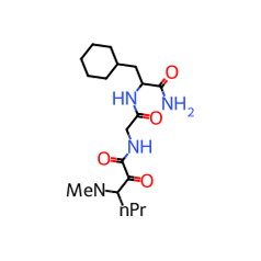 CCCC(NC)C(=O)C(=O)NCC(=O)NC(CC1CCCCC1)C(N)=O